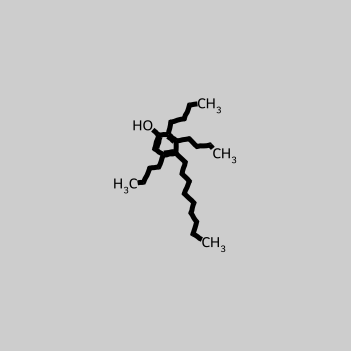 CCCCCCCCCc1c(CCCC)cc(O)c(CCCC)c1CCCC